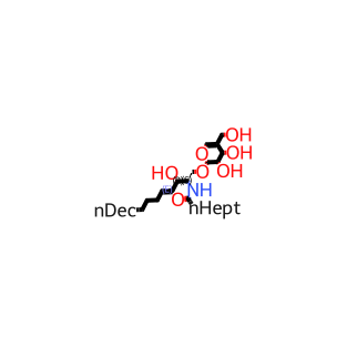 CCCCCCCCCCCCC/C=C/[C@@H](O)[C@H](COC1OC=C(CO)C(O)C1O)NC(=O)CCCCCCC